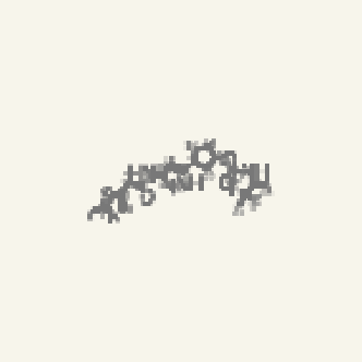 Cc1ncc(CC(=O)Nc2cc([C@H]3CCC(OC(=O)NC(C)C(C)(F)F)C3)[nH]n2)s1